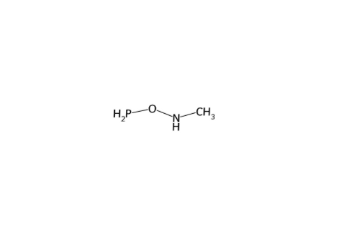 CNOP